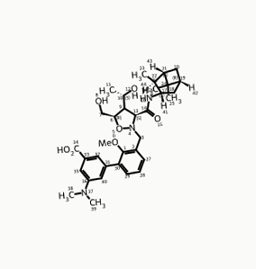 COc1c(CN2O[C@@H](CO)C([C@H](C)O)[C@H]2C(=O)N[C@H]2C[C@H]3C[C@@H]([C@@H]2C)C3(C)C)cccc1-c1cc(C(=O)O)cc(N(C)C)c1